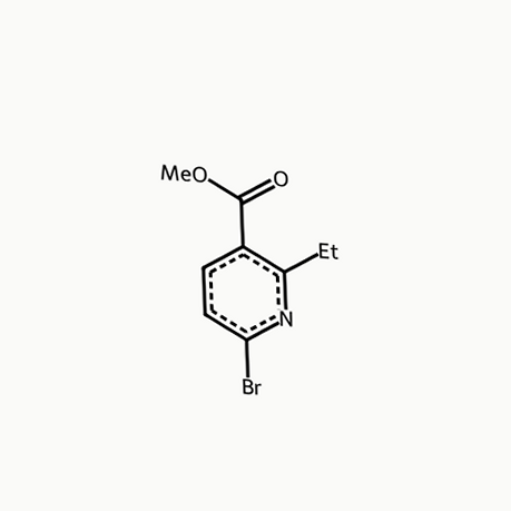 CCc1nc(Br)ccc1C(=O)OC